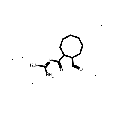 NC(N)=NC(=O)C1CCCCCCC1C=O